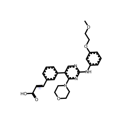 COCCOc1cccc(Nc2ncc(-c3cccc(/C=C/C(=O)O)c3)c(N3CCOCC3)n2)c1